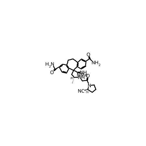 CNC(=N)C1(C[C@@H](C)NCC(=O)N2CCC[C@H]2C#N)c2ccc(C(N)=O)cc2CCc2cc(C(N)=O)ccc21